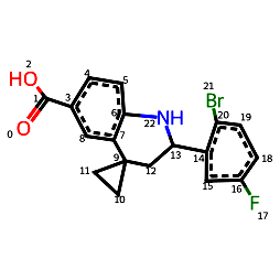 O=C(O)c1ccc2c(c1)C1(CC1)CC(c1cc(F)ccc1Br)N2